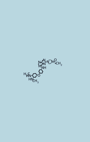 C=CC(=O)N1CCN(c2ncc3ncnc(Nc4ccc(Oc5ccc(NC)c(NC)c5)cc4)c3n2)CC1